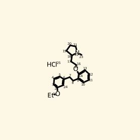 CCOc1cccc(CCc2ccccc2OCCC2CCCN2C)c1.Cl